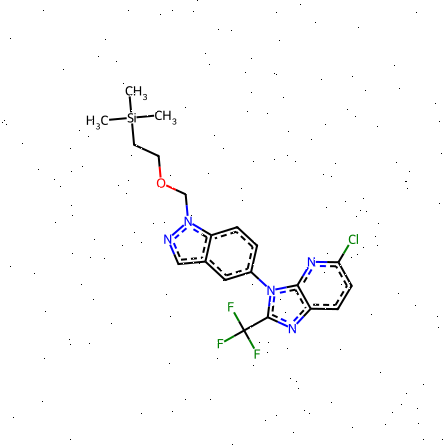 C[Si](C)(C)CCOCn1ncc2cc(-n3c(C(F)(F)F)nc4ccc(Cl)nc43)ccc21